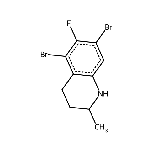 CC1CCc2c(cc(Br)c(F)c2Br)N1